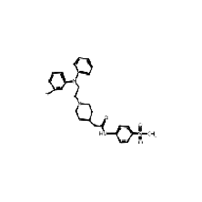 CS(=O)(=O)c1ccc(NC(=O)CC2CCN(CCN(c3ccccc3)c3cccc(F)c3)CC2)cc1